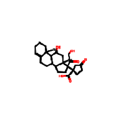 CC12CCCC=C1CCC1C2C(O)CC2(C)C1CCC2(C(=O)CO)C1(C(=O)O)CCC(=O)C1